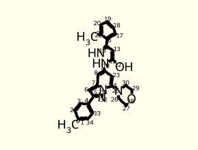 Cc1ccc(-c2cc3cc(N/C(O)=C\C(=N)c4ccccc4C)cc(N4CCOCC4)n3n2)cc1